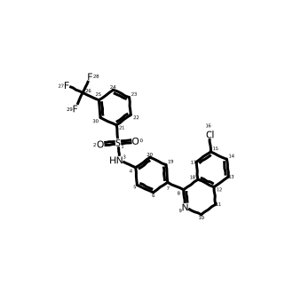 O=S(=O)(Nc1ccc(C2=NCCc3ccc(Cl)cc32)cc1)c1cccc(C(F)(F)F)c1